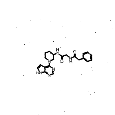 O=C(Cc1ccccc1)NCC(=O)NC1CCCN(c2ncnc3[nH]ccc23)C1